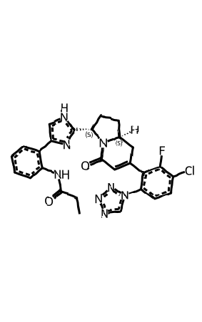 CCC(=O)Nc1ccccc1-c1c[nH]c([C@@H]2CC[C@H]3CC(c4c(-n5cnnn5)ccc(Cl)c4F)=CC(=O)N32)n1